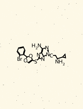 Nc1ncn(CCC(N)C2CC2)c2nc(SC3=COC(c4ccccc4Br)O3)nc1-2